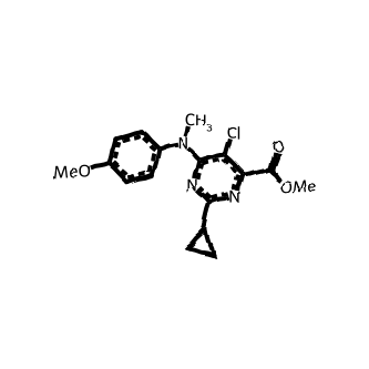 COC(=O)c1nc(C2CC2)nc(N(C)c2ccc(OC)cc2)c1Cl